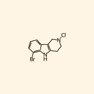 ClN1CCc2[nH]c3c(Br)cccc3c2C1